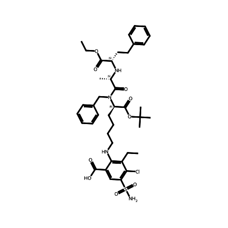 CCOC(=O)[C@H](CCc1ccccc1)N[C@@H](C)C(=O)N(Cc1ccccc1)[C@H](CCCCNc1c(C(=O)O)cc(S(N)(=O)=O)c(Cl)c1CC)C(=O)OC(C)(C)C